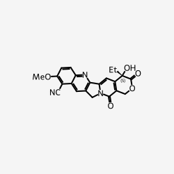 CC[C@@]1(O)C(=O)OCc2c1cc1n(c2=O)Cc2cc3c(C#N)c(OC)ccc3nc2-1